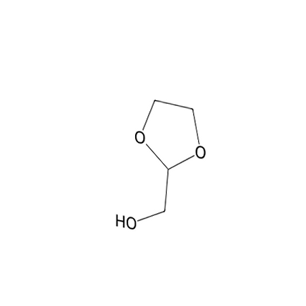 OCC1OCCO1